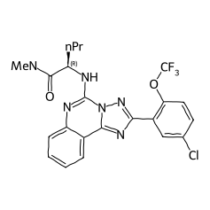 CCC[C@@H](Nc1nc2ccccc2c2nc(-c3cc(Cl)ccc3OC(F)(F)F)nn12)C(=O)NC